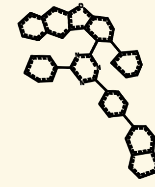 c1ccc(-c2nc(-c3ccc(-c4ccc5ccccc5c4)cc3)nc(-c3c(-c4ccccc4)ccc4oc5cc6ccccc6cc5c34)n2)cc1